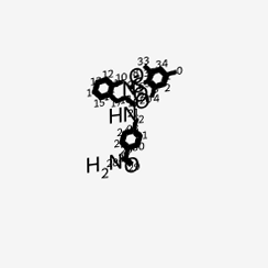 Cc1cc(C)c(S(=O)(=O)N2Cc3ccccc3CC2C(=O)NCc2ccc(C(N)=O)cc2)c(C)c1